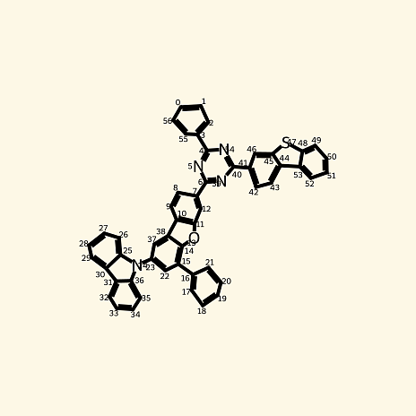 c1ccc(-c2nc(-c3ccc4c(c3)oc3c(-c5ccccc5)cc(-n5c6ccccc6c6ccccc65)cc34)nc(-c3ccc4c(c3)sc3ccccc34)n2)cc1